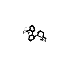 FC(F)(F)c1ccccc1-c1ccccc1C1CCCc2cncn21